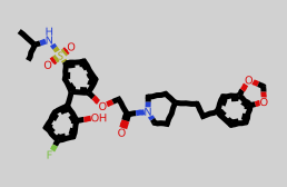 CC(C)NS(=O)(=O)c1ccc(OCC(=O)N2CCC(CCc3ccc4c(c3)OCO4)CC2)c(-c2ccc(F)cc2O)c1